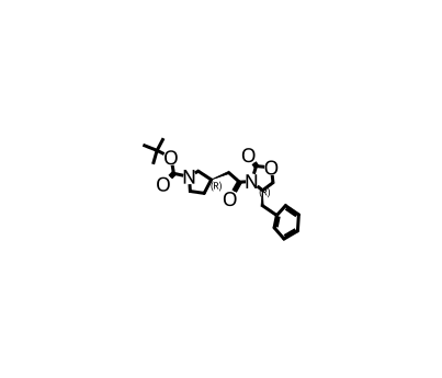 CC(C)(C)OC(=O)N1CC[C@H](CC(=O)N2C(=O)OC[C@H]2Cc2ccccc2)C1